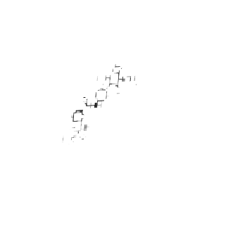 CN(C(=O)[C@@H](N)C1CCC(NC(=O)c2cccc(NS(C)(=O)=O)c2)CC1)C1CCC1